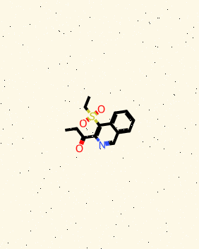 CCC(=O)c1ncc2ccccc2c1S(=O)(=O)CC